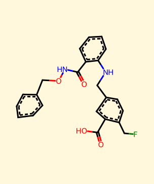 O=C(O)c1cc(CNc2ccccc2C(=O)NOCc2ccccc2)ccc1CF